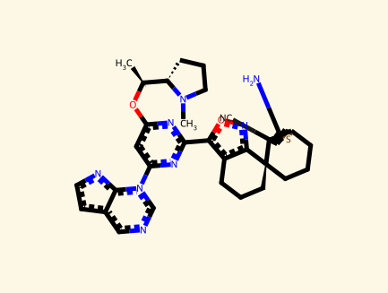 C[C@H](Oc1cc(-n2cncc3ccnc2-3)nc(-c2onc3c2CCC[C@@]32CCCc3sc(N)c(C#N)c32)n1)[C@@H]1CCCN1C